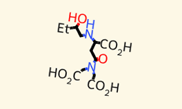 CCC(O)CNC(CC(=O)N(CC(=O)O)CC(=O)O)C(=O)O